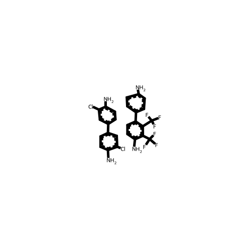 Nc1ccc(-c2ccc(N)c(C(F)(F)F)c2C(F)(F)F)cc1.Nc1ccc(-c2ccc(N)c(Cl)c2)cc1Cl